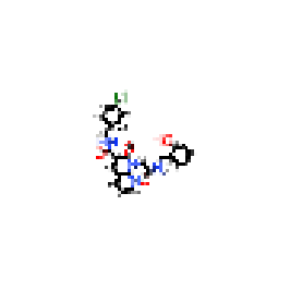 CN(Cc1ccccc1O)C(=O)Cn1c(=O)c(C(=O)NCc2ccc(Cl)cc2)cc2cccnc21